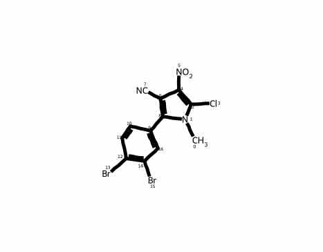 Cn1c(Cl)c([N+](=O)[O-])c(C#N)c1-c1ccc(Br)c(Br)c1